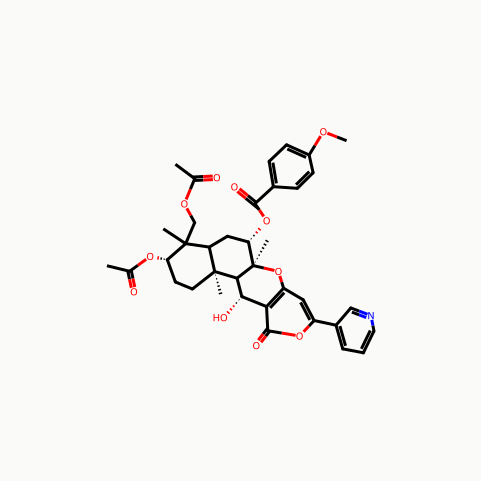 COc1ccc(C(=O)O[C@H]2CC3C(C)(COC(C)=O)[C@@H](OC(C)=O)CC[C@]3(C)C3[C@@H](O)c4c(cc(-c5cccnc5)oc4=O)O[C@@]32C)cc1